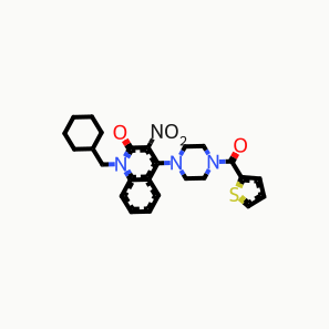 O=C(c1cccs1)N1CCN(c2c([N+](=O)[O-])c(=O)n(CC3CCCCC3)c3ccccc23)CC1